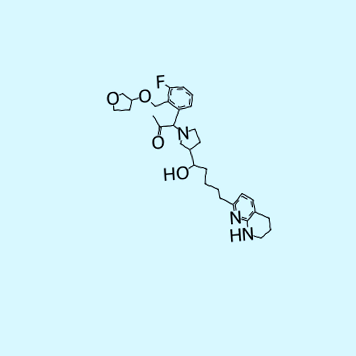 CC(=O)C(c1cccc(F)c1COC1CCOC1)N1CCC(C(O)CCCCc2ccc3c(n2)NCCC3)C1